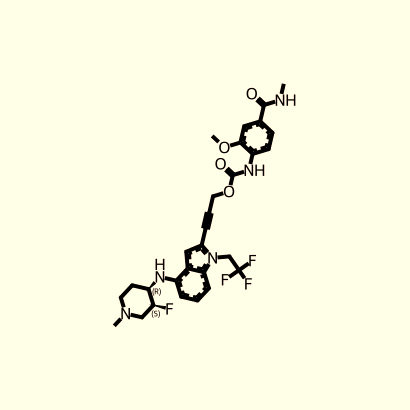 CNC(=O)c1ccc(NC(=O)OCC#Cc2cc3c(N[C@@H]4CCN(C)C[C@@H]4F)cccc3n2CC(F)(F)F)c(OC)c1